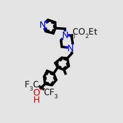 CCOC(=O)[C@H]1CN(Cc2ccc(-c3ccc(C(O)(C(F)(F)F)C(F)(F)F)cc3)c(C)c2)CCN1Cc1ccncc1